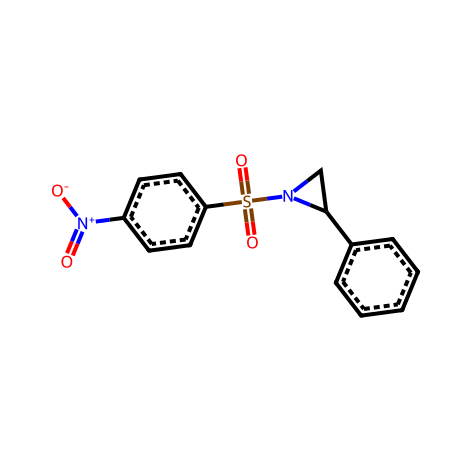 O=[N+]([O-])c1ccc(S(=O)(=O)N2CC2c2ccccc2)cc1